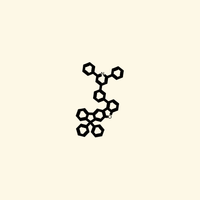 c1ccc(-c2cc(-c3cccc(-c4cccc5oc6cc7c(cc6c45)-c4ccccc4C7(c4ccccc4)c4ccccc4)c3)cc(-c3ccccc3)n2)cc1